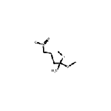 COC([SiH3])(CCC[N+](=O)[O-])OC